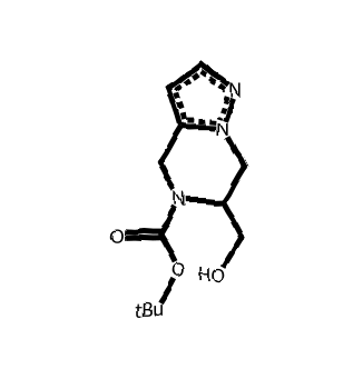 CC(C)(C)OC(=O)N1Cc2ccnn2CC1CO